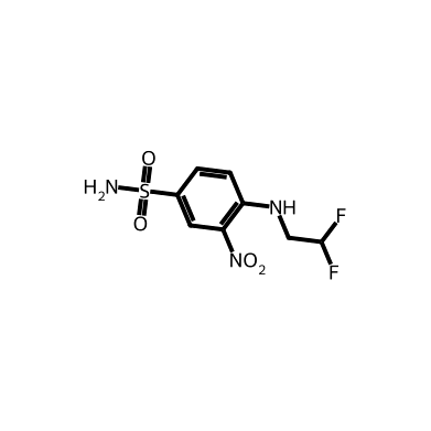 NS(=O)(=O)c1ccc(NCC(F)F)c([N+](=O)[O-])c1